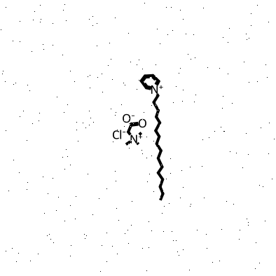 CCCCCCCCCCCCCCCC[n+]1ccccc1.C[N+](C)(C)CC(=O)[O-].[Cl-]